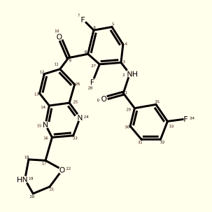 O=C(Nc1ccc(F)c(C(=O)c2ccc3nc(C4CNCCO4)cnc3c2)c1F)c1cccc(F)c1